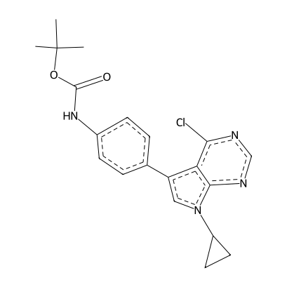 CC(C)(C)OC(=O)Nc1ccc(-c2cn(C3CC3)c3ncnc(Cl)c23)cc1